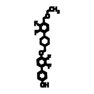 CCOCc1ccc(C2CCC(COc3ccc(-c4ccc(O)cc4)c(F)c3F)CC2)c(F)c1F